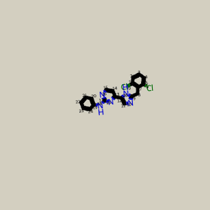 Clc1cccc(Cl)c1Cc1ncc(-c2ccnc(Nc3ccccc3)n2)[nH]1